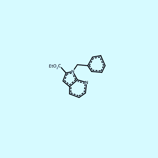 CCOC(=O)c1cc2cccnc2n1Cc1ccccc1